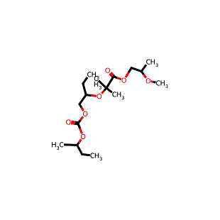 CCC(C)OC(=O)OCC(CC)OC(C)(C)C(=O)OCC(C)OC